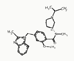 COc1cc(Cn2c(C)nc3ccccc32)ccc1C(=O)N(C)[C@@H]1CCN(C(C)C)C1